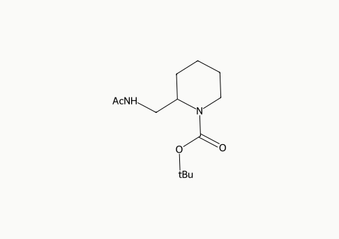 CC(=O)NCC1CCCCN1C(=O)OC(C)(C)C